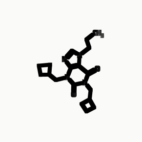 CCCn1cnc2c1c(=O)n(CC1CCC1)c(=O)n2CC1CCC1